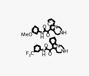 COc1cccc(NC(=O)C(=O)c2c3n(c4ccccc24)CCNCC3)c1.O=C(Nc1cccc(C(F)(F)F)c1)C(=O)c1c2n(c3ccccc13)CCNCC2